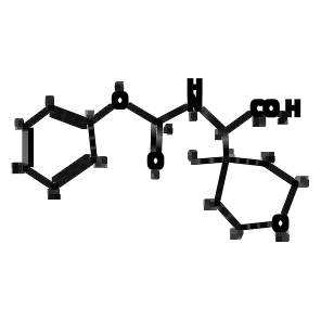 CC1(C(NC(=O)Oc2ccccc2)C(=O)O)CCOCC1